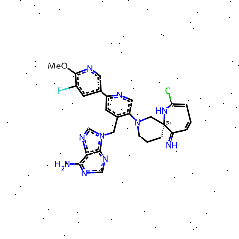 COc1ncc(-c2cc(Cn3cnc4c(N)ncnc43)c(N3CCC[C@]4(C3)NC(Cl)=CC=CC4=N)cn2)cc1F